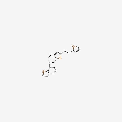 c1csc(CCc2cc3ccc4c(c3s2)-c2ccc3ccsc3c2-4)c1